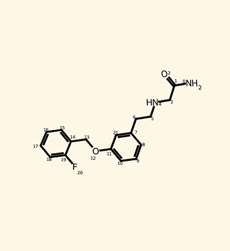 NC(=O)CNCCc1cccc(OCc2ccccc2F)c1